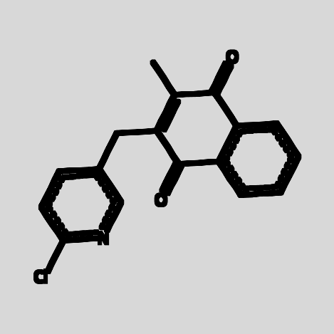 CC1=C(Cc2ccc(Cl)nc2)C(=O)c2ccccc2C1=O